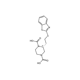 O=C(O)N1CCN(C(=O)O)[C@H](CCSc2nc3ccccc3s2)C1